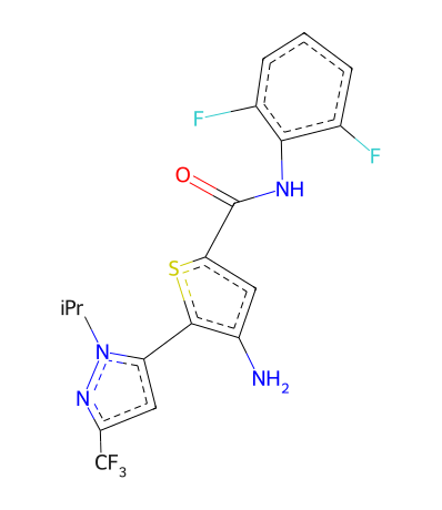 CC(C)n1nc(C(F)(F)F)cc1-c1sc(C(=O)Nc2c(F)cccc2F)cc1N